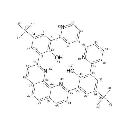 CC(C)(C)c1cc(-c2ccccn2)c(O)c(-c2ccc3ccc4ccc(-c5cc(C(C)(C)C)cc(-c6ccccn6)c5O)nc4c3n2)c1